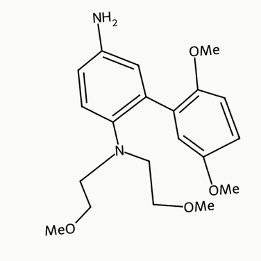 COCCN(CCOC)c1ccc(N)cc1-c1cc(OC)ccc1OC